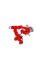 Cc1ncsc1-c1ccc([C@H](C)NC(=O)[C@@H]2C[C@@H](O)CN2C(=O)[C@@H](NC(=O)CCCCCCC(=O)N2CCN(CC3(C)CCC(c4ccc(Cl)cc4)=C(CN4CCN(c5ccc(C(=O)NS(=O)(=O)c6ccc(N[C@H](CCN7C[C@H]8C[C@@H]7CO8)CSc7ccccc7)c([N+](=O)[O-])c6)cc5)CC4)C3)CC2)C(C)(C)C)cc1